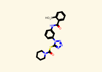 O=C(Nc1cccc(-n2nnnc2SC(=O)N2CCCCC2)c1)c1ccccc1S(=O)(=O)O